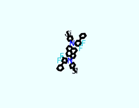 C[Si](C)(C)c1ccc(N(c2cc(F)c(F)c(-c3ccccc3)c2)c2ccc3ccc4c(N(c5ccc([Si](C)(C)C)cc5)c5cc(F)c(F)c(-c6ccccc6)c5)ccc5ccc2c3c54)cc1